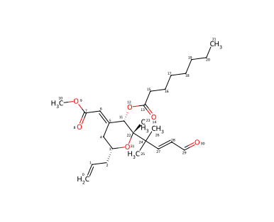 C=CC[C@@H]1C/C(=C\C(=O)OC)[C@H](OC(=O)CCCCCCC)[C@](C)(C(C)(C)/C=C/C=O)O1